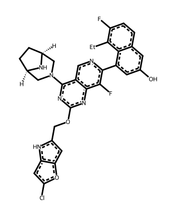 CCc1c(F)ccc2cc(O)cc(-c3ncc4c(N5C[C@H]6CC[C@@H](C5)N6)nc(OCc5cc6oc(Cl)cc6[nH]5)nc4c3F)c12